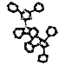 c1ccc(-c2nc(-c3ccccc3)nc(-n3c4ccccc4c4c5c6ccccc6n6c(-c7ccccc7)nc(-c7ccccc7)c6c5ccc43)n2)cc1